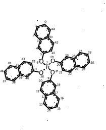 c1ccc2cc([O][Ti]([O]c3ccc4ccccc4c3)([O]c3ccc4ccccc4c3)[O]c3ccc4ccccc4c3)ccc2c1